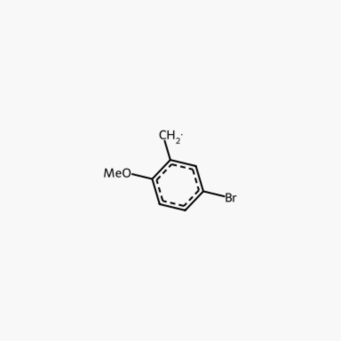 [CH2]c1cc(Br)ccc1OC